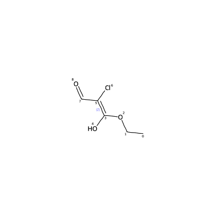 CCO/C(O)=C(\Cl)C=O